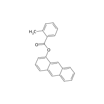 Cc1ccccc1C(=O)Oc1cccc2cc3ccccc3cc12